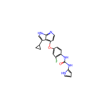 O=C(Nc1ccc[nH]1)Nc1ccc(Oc2ccnc3[nH]cc(C4CC4)c23)cc1F